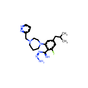 CC(C)Cc1cc(F)c(C(=N)/N=N\N)c(N2CCCN(Cc3cccnn3)CC2)c1